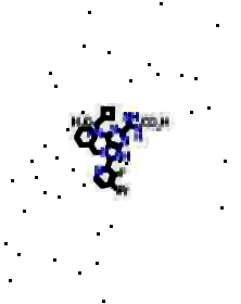 CC(C)c1ccnc(C2Nc3nc(C(=N)NC(=O)O)nc(N[C@H](C)C4CCC4)c3N2CC2CCCCC2)c1F